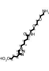 NCCOCCOCCNC(=O)CCCCn1cc(CCCC(=O)O)nn1